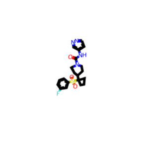 O=C(Nc1ccnnc1)N1CCC(C2(S(=O)(=O)c3cccc(F)c3)CCC2)CC1